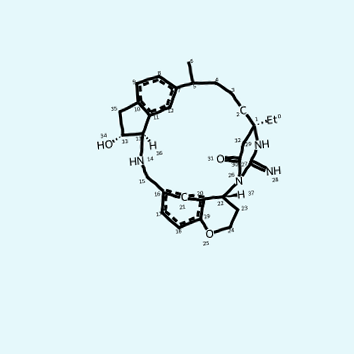 CC[C@]12CCCC(C)c3ccc4c(c3)[C@@H](NCc3ccc5c(c3)[C@@H](CCO5)N(C(=N)N1)C(=O)C2)[C@H](O)C4